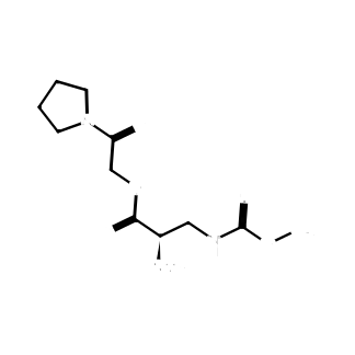 CN[C@H](CNC(=O)OC(C)(C)C)C(=O)OCC(=O)N1CCCC1